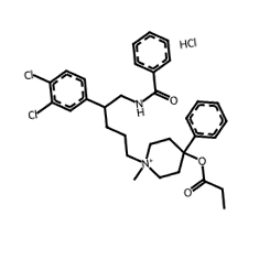 CCC(=O)OC1(c2ccccc2)CC[N+](C)(CCCC(CNC(=O)c2ccccc2)c2ccc(Cl)c(Cl)c2)CC1.Cl